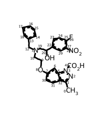 Cc1nn(C(=O)O)c2cc(OCCN(Cc3ccccc3)CC(O)c3ccc(F)c([N+](=O)[O-])c3)ccc12